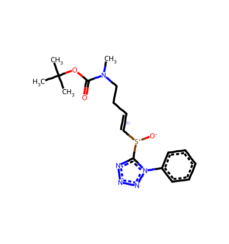 CN(CC/C=C/[S+]([O-])c1nnnn1-c1ccccc1)C(=O)OC(C)(C)C